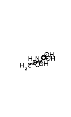 C=CCOC(=O)C(N)C(O)c1ccc(O)c(O)c1